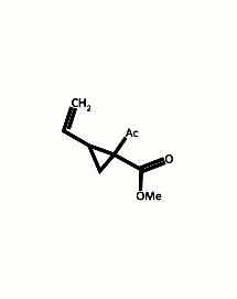 C=CC1CC1(C(C)=O)C(=O)OC